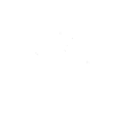 CC(C)(COC(=O)CCC(=O)O)C(O[Si](C)(C)C(C)(C)C)C(=O)NCCC(=O)NCCS